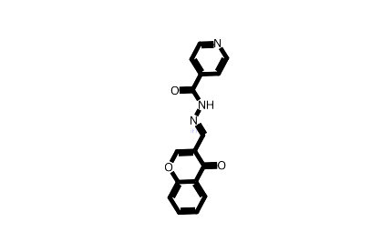 O=C(N/N=C/c1coc2ccccc2c1=O)c1ccncc1